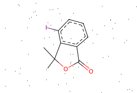 CC1(C)OC(=O)c2cccc(I)c21